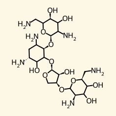 NCC1O[C@H](O[C@@H]2C(N)C[C@@H](N)C(O)C2O[C@@H]2OC[C@H](OC3O[C@@H](CN)C(O)C(O)[C@H]3N)[C@@H]2O)C(N)C(O)[C@@H]1O